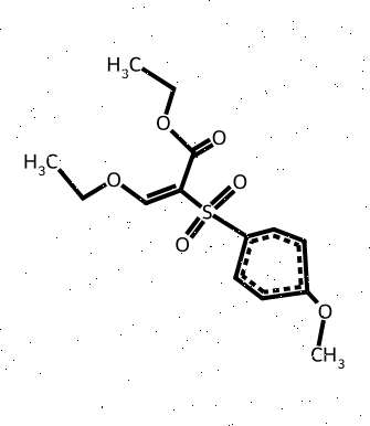 CCOC=C(C(=O)OCC)S(=O)(=O)c1ccc(OC)cc1